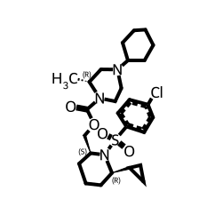 C[C@@H]1CN(C2CCCCC2)CCN1C(=O)OC[C@@H]1CCC[C@H](C2CC2)N1S(=O)(=O)c1ccc(Cl)cc1